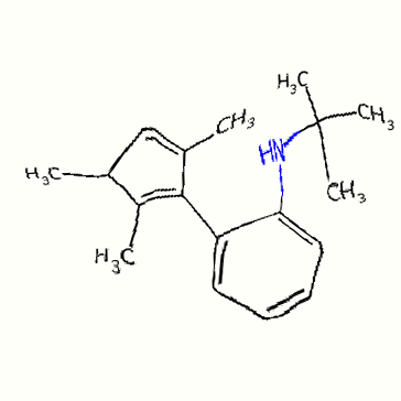 CC1=CC(C)C(C)=C1c1ccccc1NC(C)(C)C